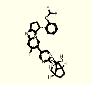 O=C(O)[C@@H]1[C@@H]2CC[C@H]1CN(c1ncc(-c3cn4c5c(nc4cc3F)CC[C@@H]5c3ccccc3OC(F)F)cn1)C2